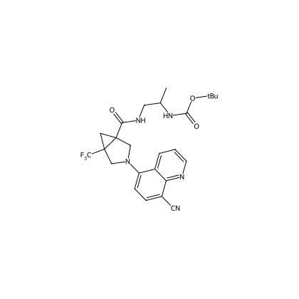 CC(CNC(=O)C12CN(c3ccc(C#N)c4ncccc34)CC1(C(F)(F)F)C2)NC(=O)OC(C)(C)C